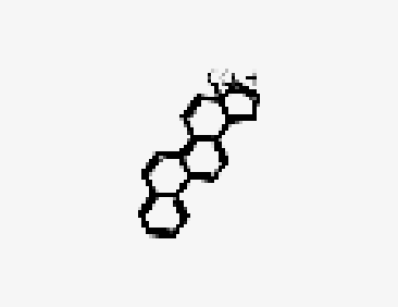 O=C(O)C12C=CC=C1c1ccc3c(ccc4ccccc43)c1C=C2